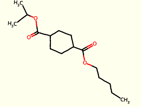 CCCCCOC(=O)C1CCC(C(=O)OC(C)C)CC1